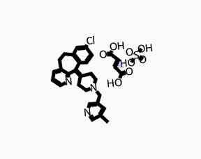 Cc1cncc(CN2CCC(=C3c4ccc(Cl)cc4CCc4cccnc43)CC2)c1.O=C(O)/C=C/C(=O)O.O=S(=O)(O)O